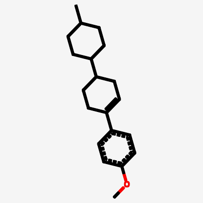 COc1ccc(C2=CCC(C3CCC(C)CC3)CC2)cc1